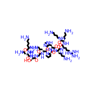 N=C(N)NCC/C=C(\NC(=O)[C@H](CCCCN)NC(=O)[C@H](Cc1cnc[nH]1)NC(=O)[C@@H]1CCCN1C(=O)[C@@H](CCCN)NC(=O)CNC(=O)[C@H](CO)NC(=O)[C@H](CCN)NC(=O)[C@@H](N)CCCCN)C(=O)N[C@@H](CCCCN)C(=O)NCCCCN